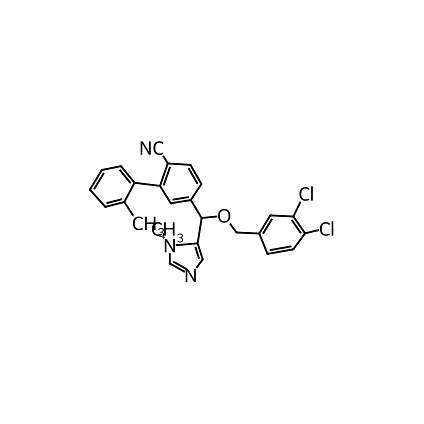 Cc1ccccc1-c1cc(C(OCc2ccc(Cl)c(Cl)c2)c2cncn2C)ccc1C#N